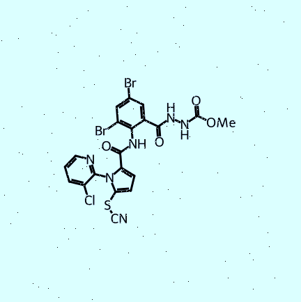 COC(=O)NNC(=O)c1cc(Br)cc(Br)c1NC(=O)c1ccc(SC#N)n1-c1ncccc1Cl